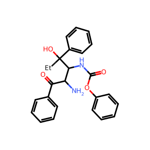 CCC(O)(c1ccccc1)C(NC(=O)Oc1ccccc1)C(N)C(=O)c1ccccc1